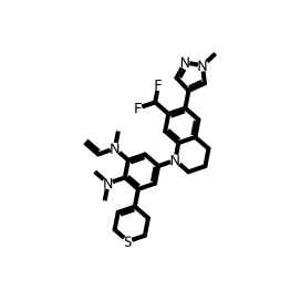 C=CN(C)c1cc(N2CCCc3cc(-c4cnn(C)c4)c(C(F)F)cc32)cc(C2=CCSCC2)c1N(C)C